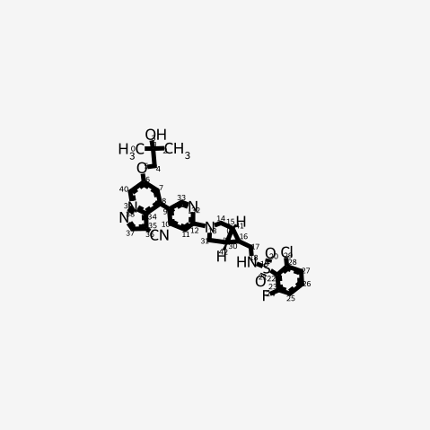 CC(C)(O)COc1cc(-c2ccc(N3C[C@@H]4C(CNS(=O)(=O)c5c(F)cccc5Cl)[C@@H]4C3)nc2)c2c(C#N)cnn2c1